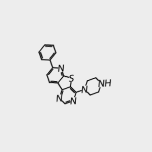 c1ccc(-c2ccc3c(n2)sc2c(N4CCNCC4)ncnc23)cc1